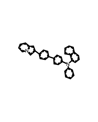 c1ccc(N(c2ccc(-c3ccc(-c4cc5ccccn5c4)cc3)cc2)c2cccc3ccccc23)cc1